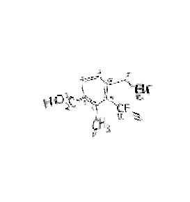 Cc1c(C(=O)O)ccc(CBr)c1C(F)(F)F